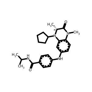 CC(C)NC(=O)c1ccc(Nc2ccc3c(c2)N(C2CCCC2)[C@H](C)C(=O)N3C)cc1